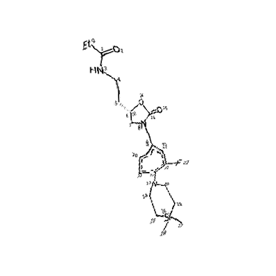 CCC(=O)NCC[C@H]1CN(c2ccc(N3CC[Si](C)(C)CC3)c(F)c2)C(=O)O1